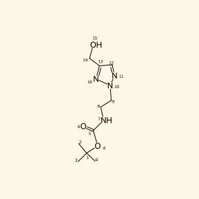 CC(C)(C)OC(=O)NCCn1ncc(CO)n1